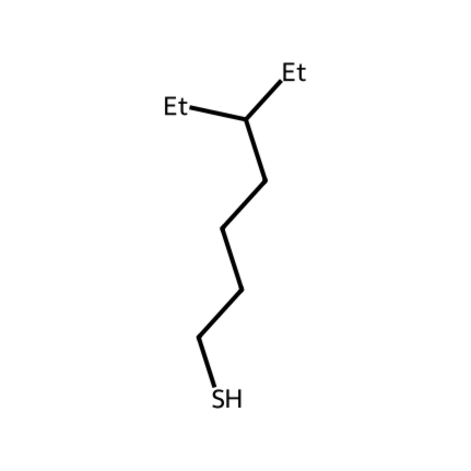 CCC(CC)CCCCS